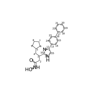 O=C(CC(CC1CCCC1)c1nc(-c2ccc(-c3ccccc3)cc2)c[nH]1)NO